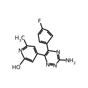 Cc1cc(-c2nnc(N)nc2-c2ccc(F)cc2)cc(O)n1